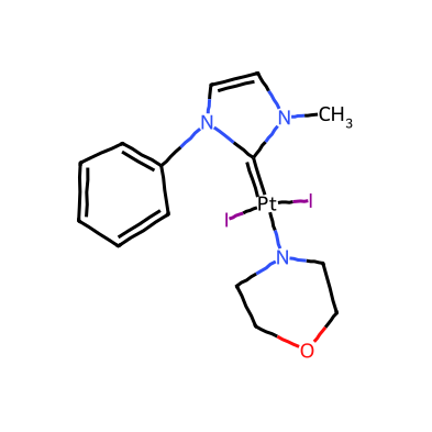 Cn1ccn(-c2ccccc2)[c]1=[Pt]([I])([I])[N]1CCOCC1